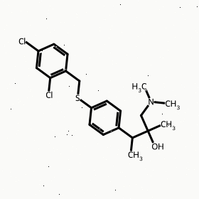 CC(c1ccc(SCc2ccc(Cl)cc2Cl)cc1)C(C)(O)CN(C)C